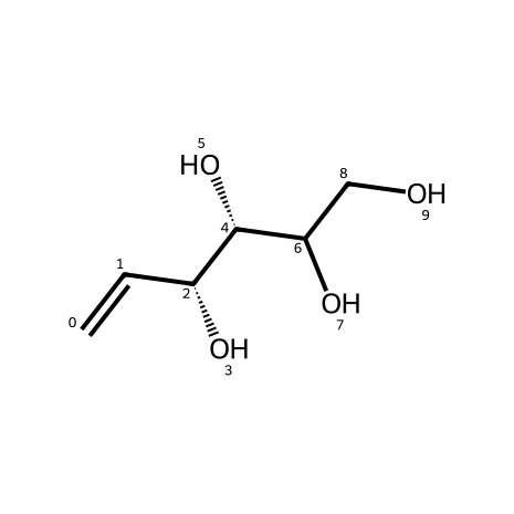 C=C[C@@H](O)[C@H](O)C(O)CO